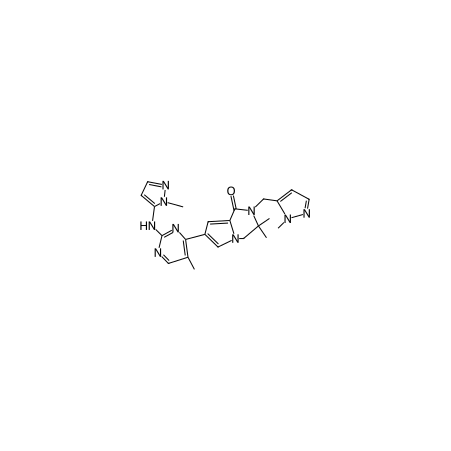 Cc1cnc(Nc2ccnn2C)nc1-c1cc2n(c1)CC(C)(C)N(Cc1ccnn1C)C2=O